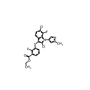 CCOC(=O)c1cccc(Sc2c(Cl)n(-c3cnn(C)c3)c3c(F)c(Cl)ccc23)c1F